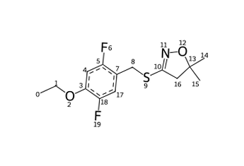 CCOc1cc(F)c(CSC2=NOC(C)(C)C2)cc1F